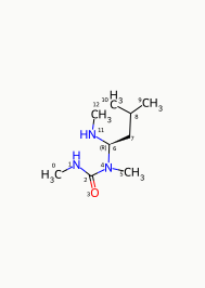 CNC(=O)N(C)[C@H](CC(C)C)NC